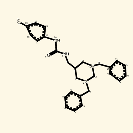 O=C(NCC1CN(Cc2ccccc2)CN(Cc2ccccc2)C1)Nc1ccc(Cl)cc1